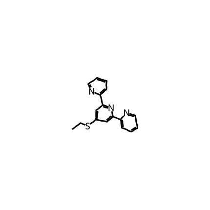 CCSc1cc(-c2ccccn2)nc(-c2ccccn2)c1